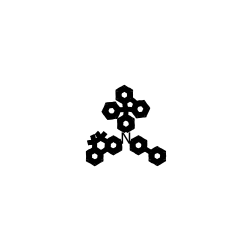 CC1(C)c2ccccc2-c2ccc(N(c3ccc(-c4ccccc4)cc3)c3ccc(C4(c5ccccc5)c5ccccc5-c5ccccc54)cc3)cc2C1(C)C